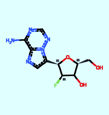 Nc1ncnn2c([C@@H]3O[C@H](CO)C(O)[C@H]3F)cnc12